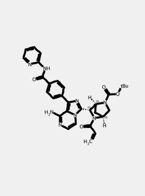 C=CC(=O)N1[C@H]2C[C@@H]([C@H]1c1nc(-c3ccc(C(=O)Nc4ccccn4)cc3)c3c(N)nccn13)N(C(=O)OC(C)(C)C)C2